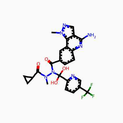 CN(C(=O)C1CC1)N(C(=O)c1ccc2nc(N)c3cnn(C)c3c2c1)C(O)(O)c1ccc(C(F)(F)F)cn1